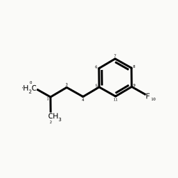 [CH2]C(C)CCc1cccc(F)c1